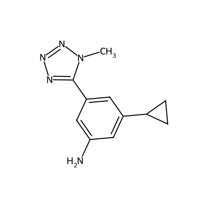 Cn1nnnc1-c1cc(N)cc(C2CC2)c1